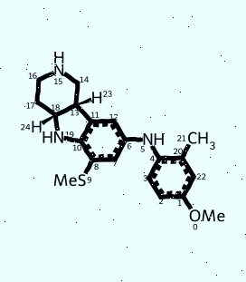 COc1ccc(Nc2cc(SC)c3c(c2)[C@H]2CNCC[C@H]2N3)c(C)c1